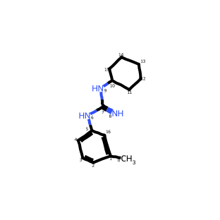 Cc1cccc(NC(=N)NC2CCCCC2)c1